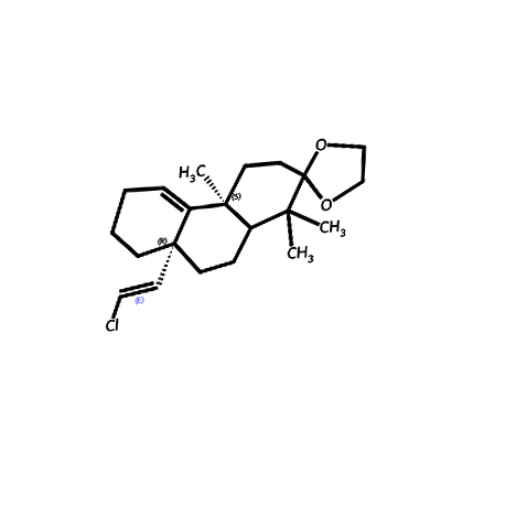 CC1(C)C2CC[C@@]3(/C=C/Cl)CCCC=C3[C@@]2(C)CCC12OCCO2